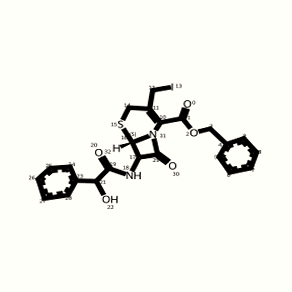 O=C(OCc1ccccc1)C1=C(CI)CS[C@H]2C(NC(=O)C(O)c3ccccc3)C(=O)N12